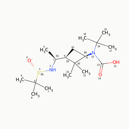 C[C@H](N[S@@+]([O-])C(C)(C)C)[C@H]1C[C@@H](N(C(=O)O)C(C)(C)C)C1(C)C